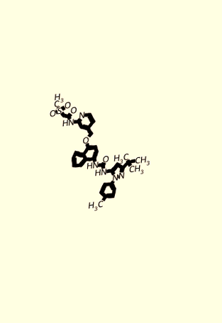 Cc1ccc(-n2nc(C(C)(C)C)cc2NC(=O)Nc2ccc(OCc3ccnc(NC(=O)CS(C)(=O)=O)c3)c3ccccc23)cc1